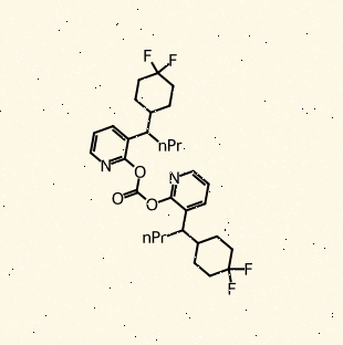 CCCC(c1cccnc1OC(=O)Oc1ncccc1C(CCC)C1CCC(F)(F)CC1)C1CCC(F)(F)CC1